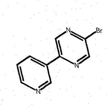 Brc1cnc(-c2cccnc2)cn1